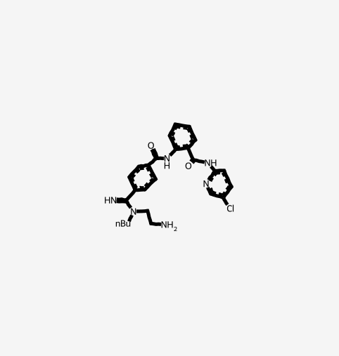 CCCCN(CCN)C(=N)c1ccc(C(=O)Nc2ccccc2C(=O)Nc2ccc(Cl)cn2)cc1